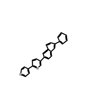 c1ccc(-c2ccc3cc(-c4ccc(-c5ccncc5)nc4)ccc3c2)cc1